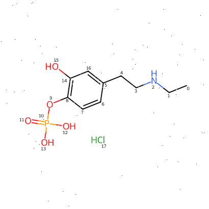 CCNCCc1ccc(OP(=O)(O)O)c(O)c1.Cl